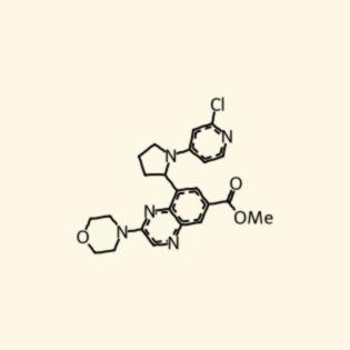 COC(=O)c1cc(C2CCCN2c2ccnc(Cl)c2)c2nc(N3CCOCC3)cnc2c1